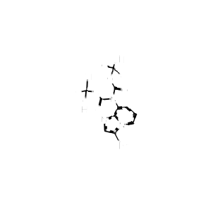 CC(C)(C)OC(=O)N(C(=O)OC(C)(C)C)c1cccn2c(Br)cnc12